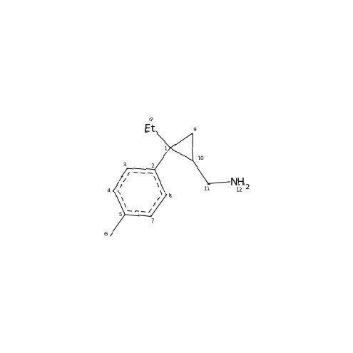 CCC1(c2ccc(C)cc2)CC1CN